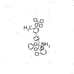 Cc1cc(-c2ccc(CC3(C(N)=O)Oc4ccccc4OC3c3ccccc3Cl)s2)ccc1OC(Cl)(Cl)Cl